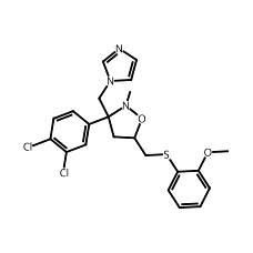 COc1ccccc1SCC1CC(Cn2ccnc2)(c2ccc(Cl)c(Cl)c2)N(C)O1